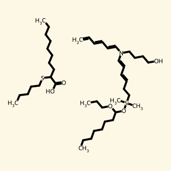 C=CC=CC=CN(C=CC=CCC[Si](C)(C)OC(CCCCCCC)OCCC)CCCCO.CCCCCCCCC(SCCCCC)C(=O)O